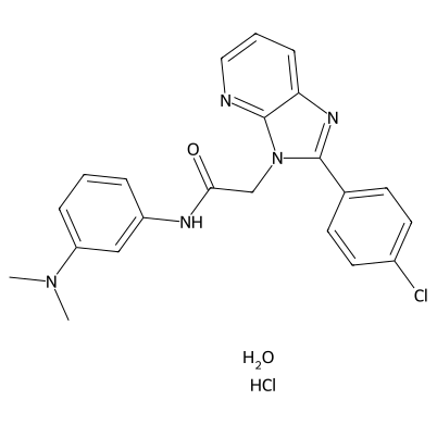 CN(C)c1cccc(NC(=O)Cn2c(-c3ccc(Cl)cc3)nc3cccnc32)c1.Cl.O